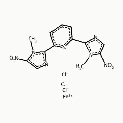 Cn1c([N+](=O)[O-])cnc1-c1cccc(-c2ncc([N+](=O)[O-])n2C)n1.[Cl-].[Cl-].[Cl-].[Fe+3]